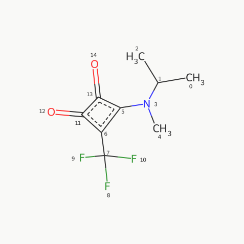 CC(C)N(C)c1c(C(F)(F)F)c(=O)c1=O